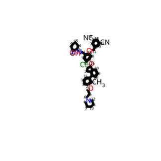 Cc1c(OCCCN2CCCCC2)cccc1-c1cccc2c1CC[C@@H]2Oc1cc(OCc2cc(C#N)cc(C#N)c2)c(CN[C@@H]2CCCC[C@@H]2O)cc1Cl